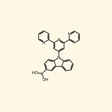 OB(O)c1ccc2c(c1)c1ccccc1n2-c1cc(-c2ccccn2)nc(-c2ccccn2)c1